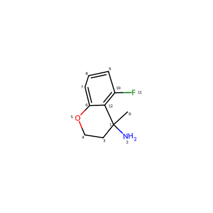 CC1(N)CCOc2cccc(F)c21